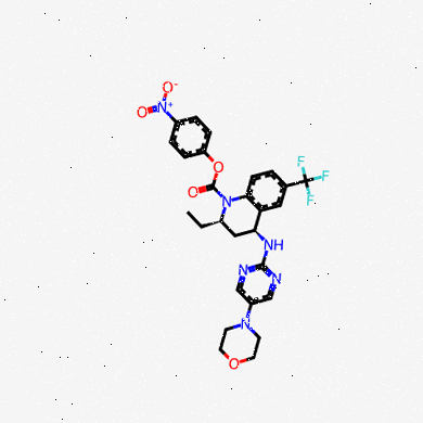 CC[C@@H]1C[C@H](Nc2ncc(N3CCOCC3)cn2)c2cc(C(F)(F)F)ccc2N1C(=O)Oc1ccc([N+](=O)[O-])cc1